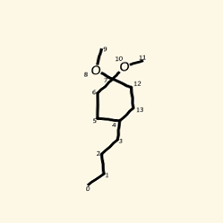 CCCCC1CCC(OC)(OC)CC1